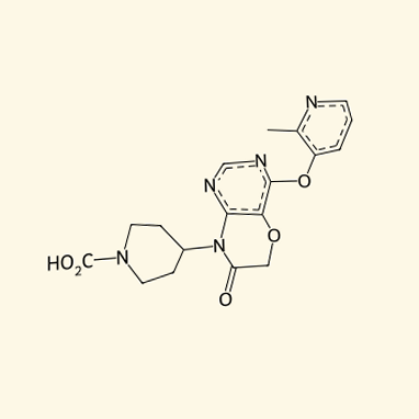 Cc1ncccc1Oc1ncnc2c1OCC(=O)N2C1CCN(C(=O)O)CC1